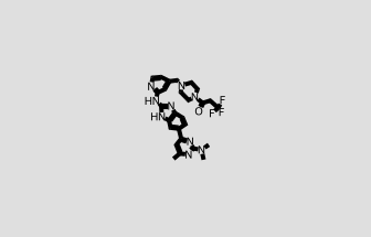 Cc1cc(-c2ccc3nc(Nc4cc(CN5CCN(C(=O)CC(F)(F)F)CC5)ccn4)[nH]c3c2)nc(N(C)C)n1